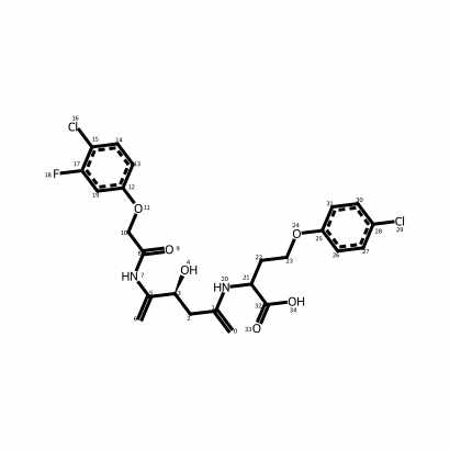 C=C(C[C@H](O)C(=C)NC(=O)COc1ccc(Cl)c(F)c1)NC(CCOc1ccc(Cl)cc1)C(=O)O